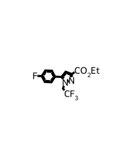 CCOC(=O)c1cc(-c2ccc(F)cc2)n(CC(F)(F)F)n1